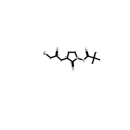 CC(C)(C)C(=O)ON1CCC(CC(=O)CBr)C1=O